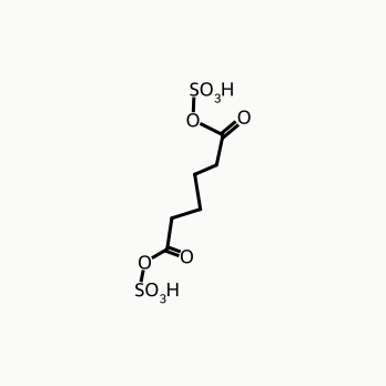 O=C(CCCCC(=O)OS(=O)(=O)O)OS(=O)(=O)O